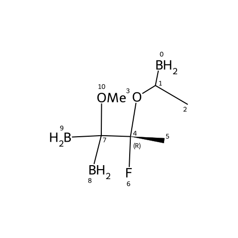 BC(C)O[C@](C)(F)C(B)(B)OC